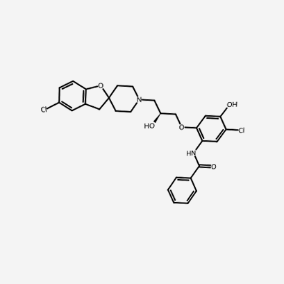 O=C(Nc1cc(Cl)c(O)cc1OC[C@@H](O)CN1CCC2(CC1)Cc1cc(Cl)ccc1O2)c1ccccc1